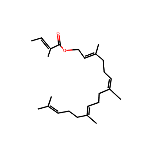 C/C=C(\C)C(=O)OC/C=C(\C)CCC=C(C)CC/C=C(\C)CCC=C(C)C